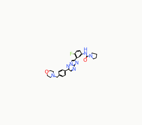 O=C(Nc1ccc(F)c(-c2cn3nc(-c4ccc(CN5CCOCC5)cc4)cnc3n2)c1)N1CCCC1